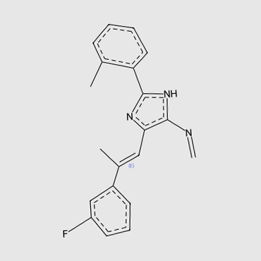 C=Nc1[nH]c(-c2ccccc2C)nc1/C=C(\C)c1cccc(F)c1